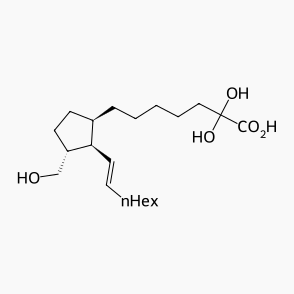 CCCCCCC=C[C@@H]1[C@H](CCCCCC(O)(O)C(=O)O)CC[C@H]1CO